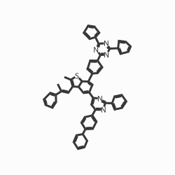 CC1=C(/C=C(\C)c2ccccc2)C2C=C(c3cc(-c4ccc(C5C=CC=CC5)cc4)nc(-c4ccccc4)n3)C=C(c3ccc(-c4nc(-c5ccccc5)nc(-c5ccccc5)n4)cc3)C2S1